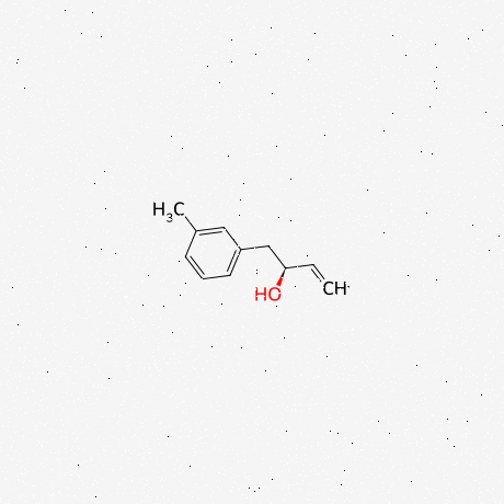 [CH]=C[C@@H](O)Cc1cccc(C)c1